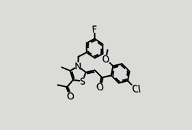 COc1ccc(Cl)cc1C(=O)/C=C1\SC(C(C)=O)=C(C)N1Cc1cccc(F)c1